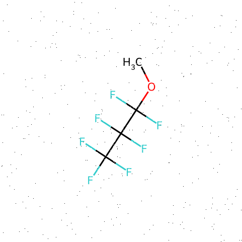 COC(F)(F)C(F)(F)C(F)(F)F